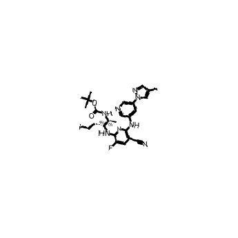 Cc1cnn(-c2cncc(Nc3nc(N[C@H](CCI)[C@H](C)NC(=O)OC(C)(C)C)c(F)cc3C#N)c2)c1